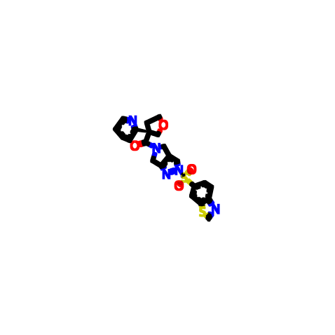 O=C(N1Cc2cn(S(=O)(=O)c3ccc4ncsc4c3)nc2C1)[C@]1(c2ccccn2)CCOC1